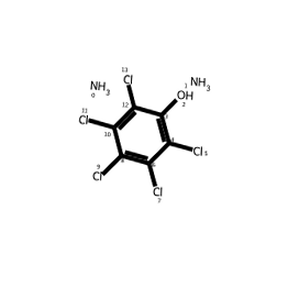 N.N.Oc1c(Cl)c(Cl)c(Cl)c(Cl)c1Cl